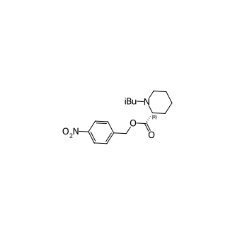 CCC(C)N1CCCC[C@@H]1C(=O)OCc1ccc([N+](=O)[O-])cc1